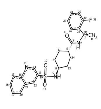 C[C@@H](NC(=O)[C@H]1CC[C@H](NS(=O)(=O)c2cnc3ccccc3c2)CC1)c1ccccc1F